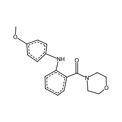 COc1ccc(Nc2ccccc2C(=O)N2CCOCC2)cc1